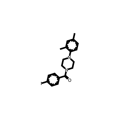 Cc1ccc(N2CCN(C(=O)c3ccc(I)cc3)CC2)c(C)c1